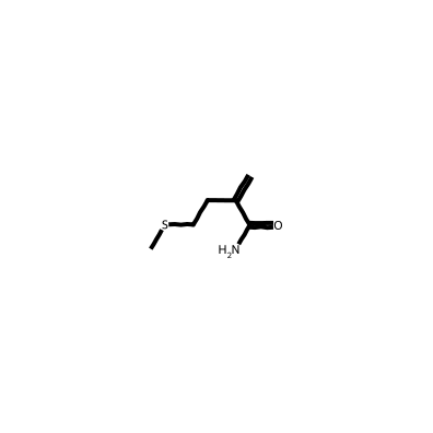 C=C(CCSC)C(N)=O